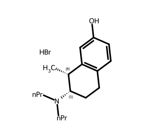 Br.CCCN(CCC)[C@H]1CCc2ccc(O)cc2[C@H]1C